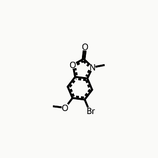 COc1cc2oc(=O)n(C)c2cc1Br